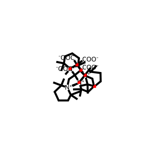 CC1(C)CCCC(C)(C)[N+]1(C)CC(C(C(=O)[O-])(C(C(=O)[O-])(C(=O)[O-])C(=O)[O-])[N+]1(C)C(C)(C)CCCC1(C)C)([N+]1(C)C(C)(C)CCCC1(C)C)[N+]1(C)C(C)(C)CCCC1(C)C